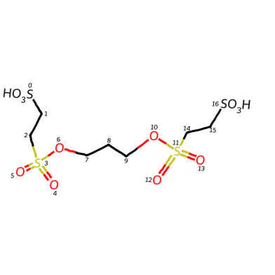 O=S(=O)(O)CCS(=O)(=O)OCCCOS(=O)(=O)CCS(=O)(=O)O